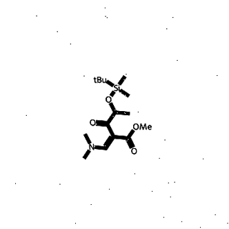 COC(=O)/C(=C/N(C)C)C(=O)C(C)O[Si](C)(C)C(C)(C)C